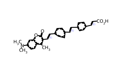 Cc1c(/C=C/c2ccc(/C=C/c3ccc(/C=C/C(=O)O)cc3)cc2)c(=O)oc2cc(N(C)C)ccc12